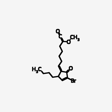 CCCCC1C=C(Br)C(=O)C1=CCCCCC(=C=O)OC